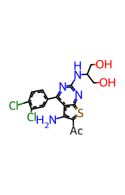 CC(=O)c1sc2nc(NC(CO)CO)nc(-c3ccc(Cl)c(Cl)c3)c2c1N